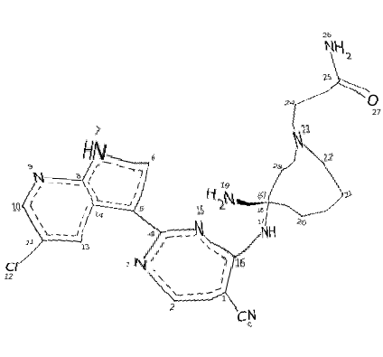 N#Cc1cnc(-c2c[nH]c3ncc(Cl)cc23)nc1N[C@@]1(N)CCCN(CC(N)=O)C1